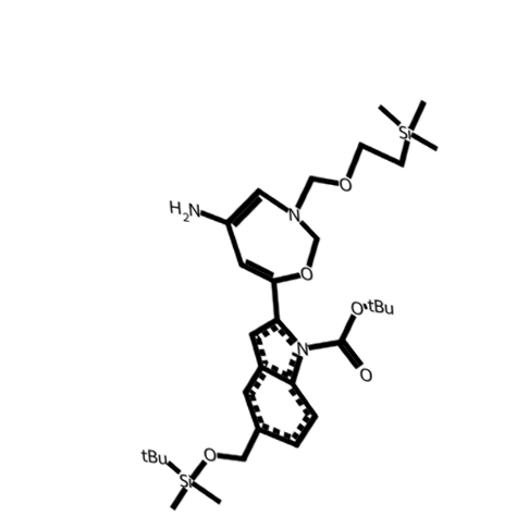 CC(C)(C)OC(=O)n1c(C2=CC(N)=CN(COCC[Si](C)(C)C)CO2)cc2cc(CO[Si](C)(C)C(C)(C)C)ccc21